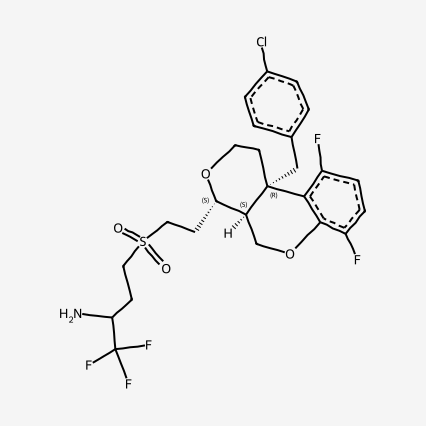 NC(CCS(=O)(=O)CC[C@@H]1OCC[C@@]2(Cc3ccc(Cl)cc3)c3c(F)ccc(F)c3OC[C@@H]12)C(F)(F)F